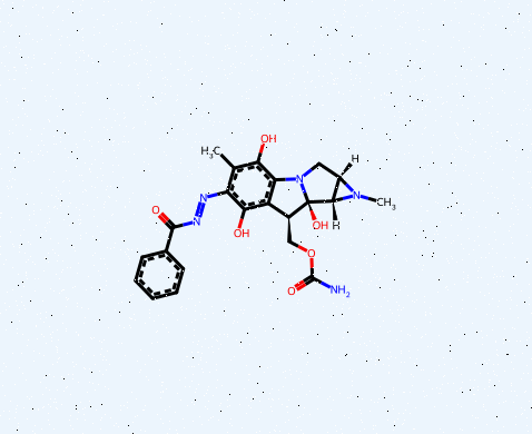 Cc1c(O)c2c(c(O)c1N=NC(=O)c1ccccc1)[C@H](COC(N)=O)[C@@]1(O)[C@@H]3[C@H](CN21)N3C